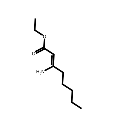 CCCCCC(N)=CC(=O)OCC